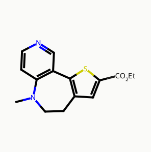 CCOC(=O)c1cc2c(s1)-c1cnccc1N(C)CC2